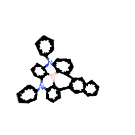 c1ccc(N2c3cccc4c3B3c5c(cccc5N(c5ccccc5)c5cccc2c53)-c2cc3ccccc3cc2-4)cc1